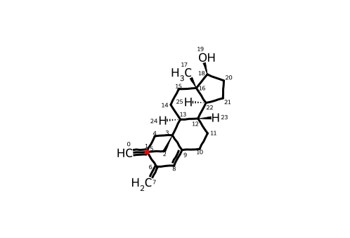 C#CC[C@]12CCC(=C)C=C1CC[C@@H]1[C@@H]2CC[C@]2(C)[C@@H](O)CC[C@@H]12